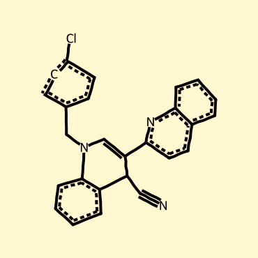 N#CC1C(c2ccc3ccccc3n2)=CN(Cc2ccc(Cl)cc2)c2ccccc21